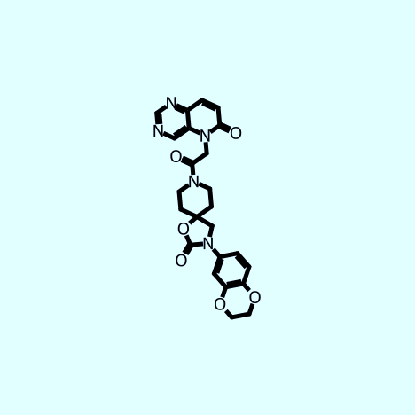 O=C(Cn1c(=O)ccc2ncncc21)N1CCC2(CC1)CN(c1ccc3c(c1)OCCO3)C(=O)O2